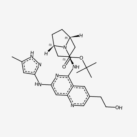 Cc1cc(Nc2cc3ncc(CCO)cc3c(N[C@@H]3C[C@H]4CC[C@@H](C3)N4C(=O)OC(C)(C)C)n2)n[nH]1